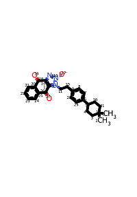 CC1(C)CCC(c2ccc(CCn3c4c(n[n+]3[O-])C(=O)c3ccccc3C4=O)cc2)CC1